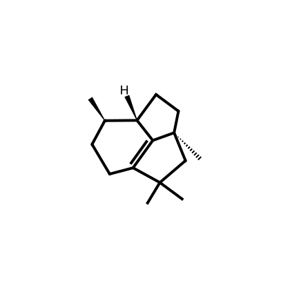 C[C@@H]1CCC2=C3[C@H]1CC[C@@]3(C)CC2(C)C